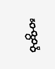 N#Cc1ccc(-c2ccc3c(c2)C2(CCCCC2)c2cc(-c4ccccc4Cl)ccc2-3)cc1